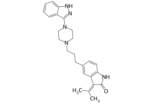 CC(C)=C1C(=O)Nc2ccc(CCCN3CCN(c4n[nH]c5ccccc45)CC3)cc21